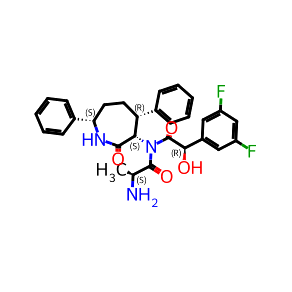 C[C@H](N)C(=O)N(C(=O)[C@H](O)c1cc(F)cc(F)c1)[C@@H]1C(=O)N[C@H](c2ccccc2)CC[C@@H]1c1ccccc1